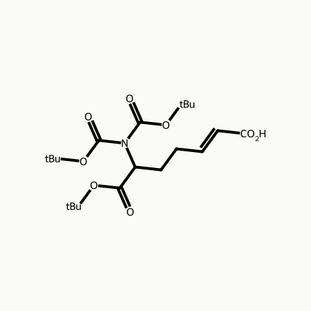 CC(C)(C)OC(=O)C(CCC=CC(=O)O)N(C(=O)OC(C)(C)C)C(=O)OC(C)(C)C